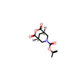 C=C(C)OC(=O)N1C[C@H]2C[C@@H](C1)C(=O)OC2=O